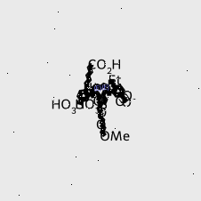 CCN1/C(=C/C=C/C2=[N+](CCCCCC(=O)O)c3ccc(S(=O)(=O)O)cc3C2(C)CCOCCOCCOCCOC)C(C)(CCCS(=O)(=O)O)c2cc(S(=O)(=O)[O-])ccc21